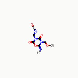 CCN=c1oc(=O)n(CN=C=O)c(=O)n1COC#N